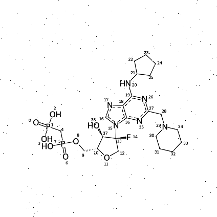 O=P(O)(O)CP(=O)(O)OC[C@H]1OC[C@@](F)(n2cnc3c(NC4CCCC4)nc(CN4CCCCC4)nc32)[C@@H]1O